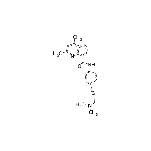 Cc1cc(C)n2ncc(C(=O)Nc3ccc(C#CCN(C)C)cc3)c2n1